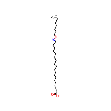 CCCCCCCON=CCCCCCCCCCCCCCCCCC(=O)O